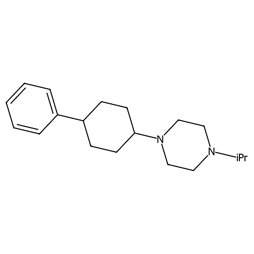 CC(C)N1CCN(C2CCC(c3ccccc3)CC2)CC1